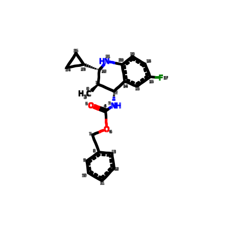 C[C@@H]1[C@@H](NC(=O)OCc2ccccc2)c2cc(F)ccc2N[C@H]1C1CC1